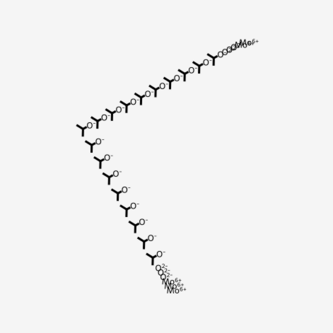 CC(C)[O-].CC(C)[O-].CC(C)[O-].CC(C)[O-].CC(C)[O-].CC(C)[O-].CC(C)[O-].CC(C)[O-].CC(C)[O-].CC(C)[O-].CC(C)[O-].CC(C)[O-].CC(C)[O-].CC(C)[O-].CC(C)[O-].CC(C)[O-].CC(C)[O-].CC(C)[O-].[Mo+6].[Mo+6].[Mo+6].[Mo+6].[Mo+6].[O-2].[O-2].[O-2].[O-2].[O-2].[O-2]